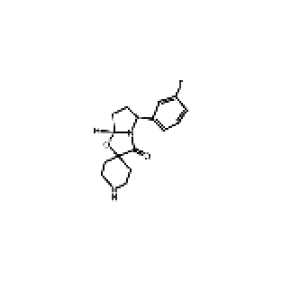 O=C1N2[C@@H](CC[C@H]2c2cccc(F)c2)OC12CCNCC2